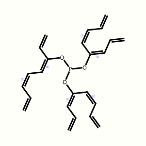 C=C/C=C\C=C(/C=C)OP(OC(/C=C\C=C)=C/C=C)OC(/C=C\C=C)=C/C=C